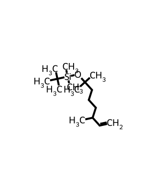 C=CC(C)CCCC(C)(C)O[Si](C)(C)C(C)(C)C